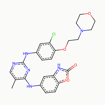 Cc1cnc(Nc2ccc(OCCN3CCOCC3)c(Cl)c2)nc1Nc1ccc2oc(=O)[nH]c2c1